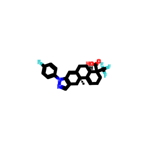 C[C@]12Cc3cnn(-c4ccc(F)cc4)c3C=C1CC[C@@H]1C2=CCCC1(C(=O)O)C(F)(F)F